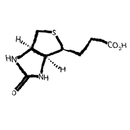 O=C(O)CC[C@@H]1SC[C@@H]2NC(=O)N[C@@H]21